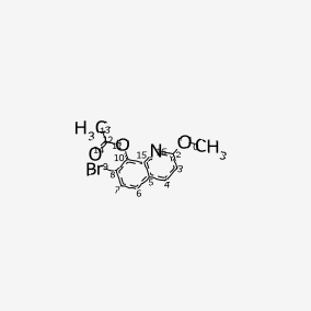 COc1ccc2ccc(Br)c(OC(C)=O)c2n1